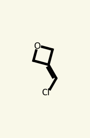 ClC=C1COC1